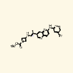 C/C(=C\NC1CN(C(=O)OC(C)(C)C)C1)c1cnc2ccc(Nc3cc(C(C)C)cnn3)nc2c1